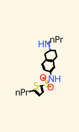 CCCN[C@H]1CCc2cc(NS(=O)(=O)c3ccc(CCC)s3)ccc2C1